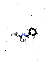 CCCCC(C)N=Cc1ccccc1